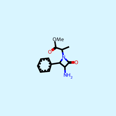 COC(=O)C(C)N1C(=O)C(N)C1c1ccccc1